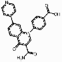 NC(=O)c1cn(-c2ccc(C(=O)O)cc2)c2cc(-c3ccncc3)ccc2c1=O